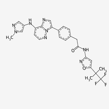 Cn1cc(Nc2ccnn3c(-c4ccc(CC(=O)Nc5cc(C(C)(C)C(F)(F)F)on5)cc4)cnc23)cn1